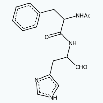 CC(=O)NC(Cc1ccccc1)C(=O)NC([C]=O)Cc1c[nH]cn1